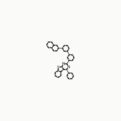 c1ccc(-c2nc(-c3cccc(-c4cccc(-c5ccc6ccccc6c5)c4)c3)nc3sc4ccccc4c23)cc1